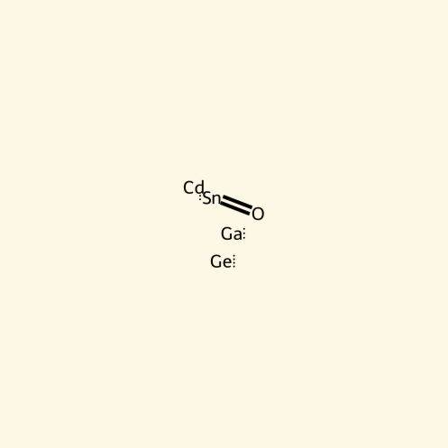 [Cd].[Ga].[Ge].[O]=[Sn]